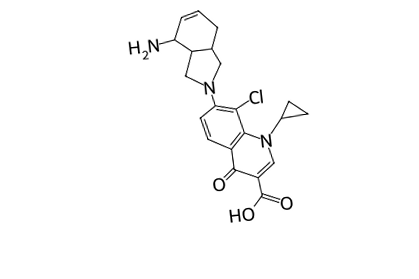 NC1C=CCC2CN(c3ccc4c(=O)c(C(=O)O)cn(C5CC5)c4c3Cl)CC12